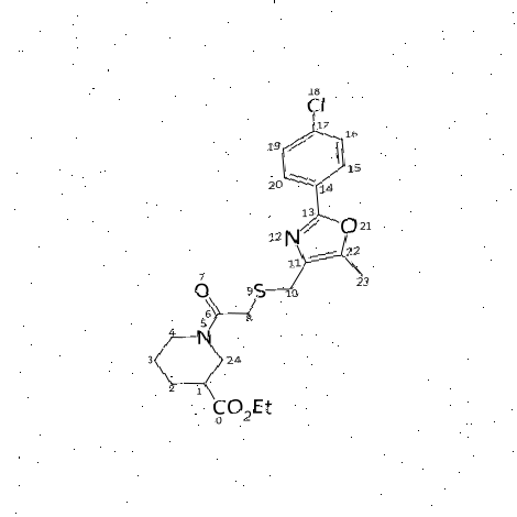 CCOC(=O)C1CCCN(C(=O)CSCc2nc(-c3ccc(Cl)cc3)oc2C)C1